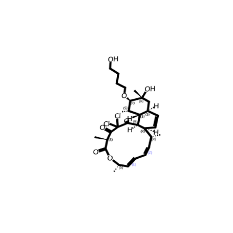 C[C@@H]1C(=O)O[C@@H](C)/C=C/C=C\[C@@H](C)[C@@H]2C=C[C@@H]3C[C@@](C)(O)[C@H](OCCCCO)[C@@H](C)[C@H]3[C@@H]2C(=O)C(Cl)(Cl)C1=O